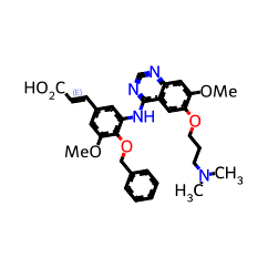 COc1cc2ncnc(Nc3cc(/C=C/C(=O)O)cc(OC)c3OCc3ccccc3)c2cc1OCCCN(C)C